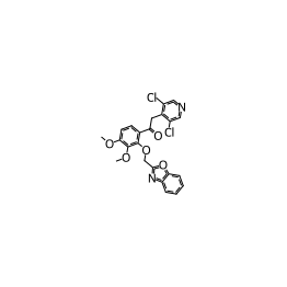 COc1ccc(C(=O)Cc2c(Cl)cncc2Cl)c(OCc2nc3ccccc3o2)c1OC